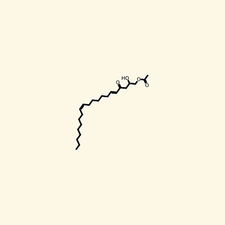 CCCCCCCC/C=C\CCCCC/C=C/C(=O)CC(O)COC(C)=O